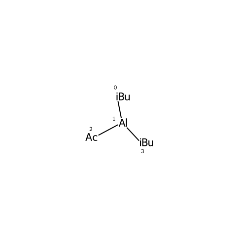 CC[CH](C)[Al]([C](C)=O)[CH](C)CC